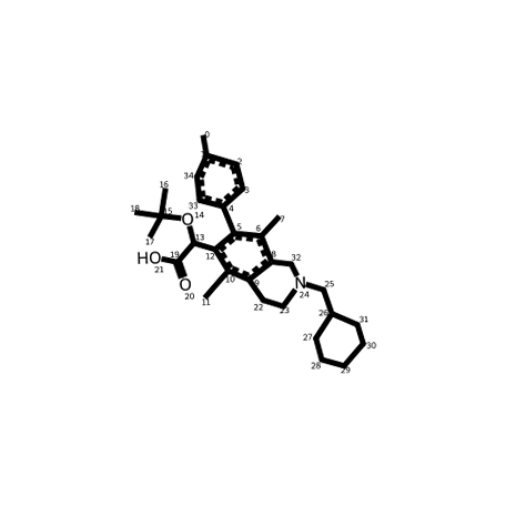 Cc1ccc(-c2c(C)c3c(c(C)c2C(OC(C)(C)C)C(=O)O)CCN(CC2CCCCC2)C3)cc1